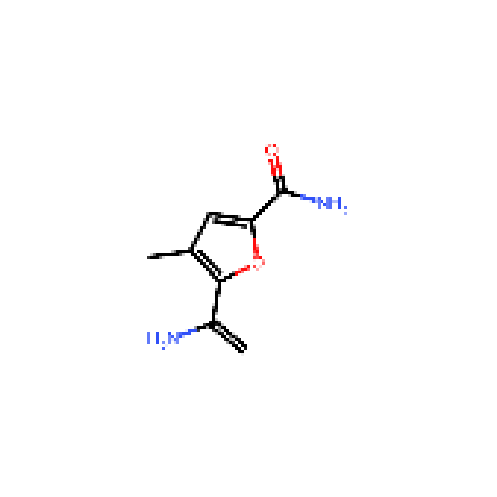 C=C(N)c1oc(C(N)=O)cc1C